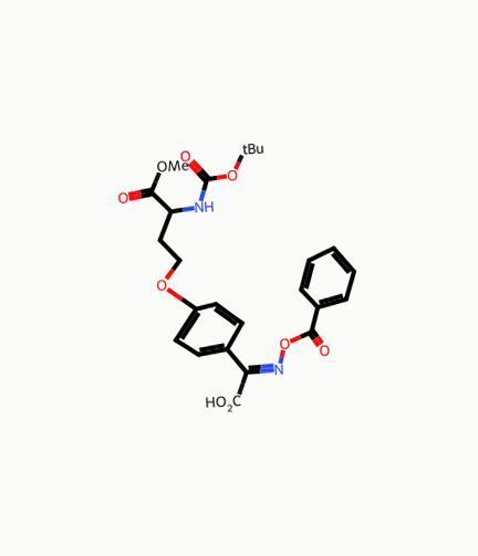 COC(=O)C(CCOc1ccc(/C(=N\OC(=O)c2ccccc2)C(=O)O)cc1)NC(=O)OC(C)(C)C